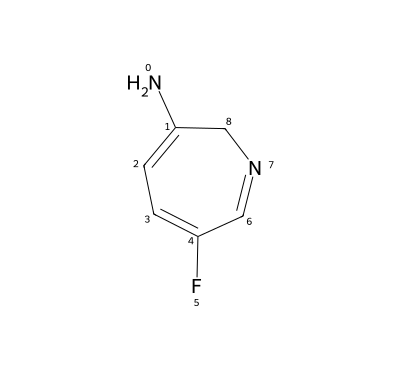 NC1=CC=C(F)C=NC1